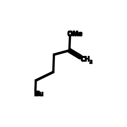 [CH2]CC(C)CCCC(=C)OC